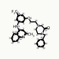 Cc1cc(Nc2cc(OCCN3CCN(Cc4ccccc4)C(=O)C3)cc(C(F)(F)F)c2)c2ccccc2n1